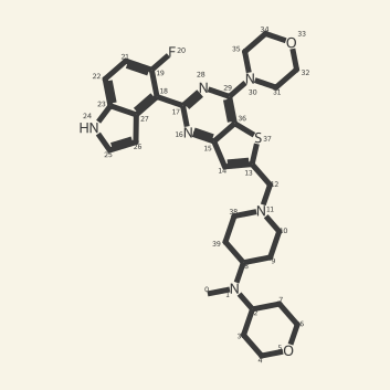 CN(C1CCOCC1)C1CCN(Cc2cc3nc(-c4c(F)ccc5[nH]ccc45)nc(N4CCOCC4)c3s2)CC1